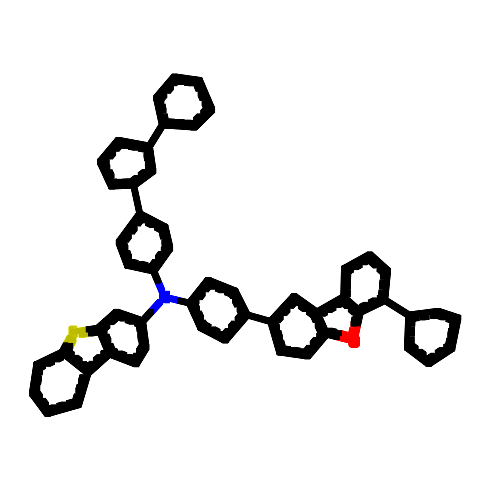 c1ccc(-c2cccc(-c3ccc(N(c4ccc(-c5ccc6oc7c(-c8ccccc8)cccc7c6c5)cc4)c4ccc5c(c4)sc4ccccc45)cc3)c2)cc1